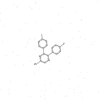 Cc1ccc(-c2nc(C(C)C)cnc2-c2ccc(F)cc2)cc1